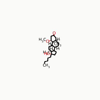 CCCCC[C@]1(O)CC[C@H]2[C@@H]3CC[C@H]4CC(=O)C[C@H](OC)[C@]4(C)[C@H]3CC[C@@]21C